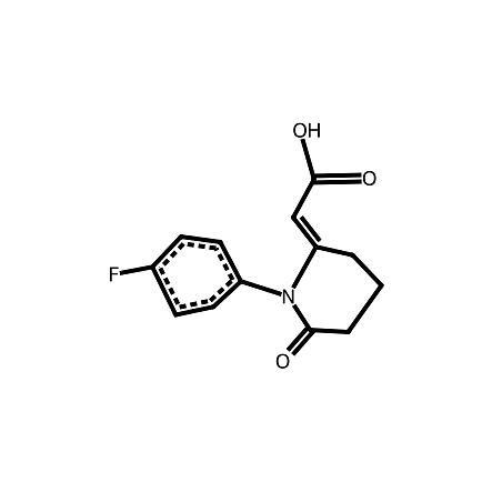 O=C(O)C=C1CCCC(=O)N1c1ccc(F)cc1